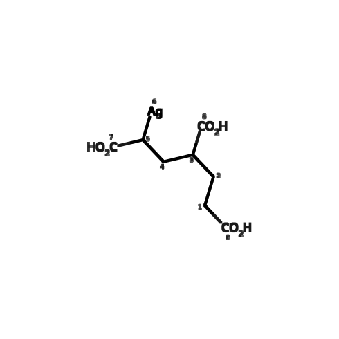 O=C(O)CCC(C[CH]([Ag])C(=O)O)C(=O)O